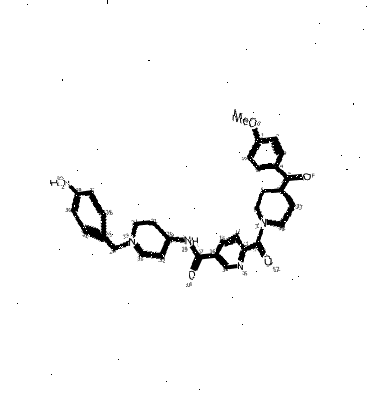 COc1ccc(C(=O)C2CCN(C(=O)c3ccc(C(=O)NC4CCN(Cc5ccc(N)cc5)CC4)cn3)CC2)cc1